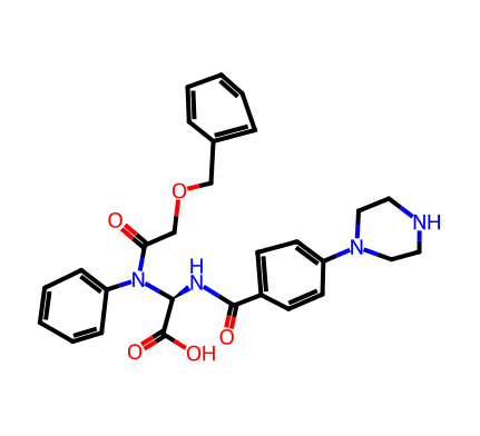 O=C(N[C@@H](C(=O)O)N(C(=O)COCc1ccccc1)c1ccccc1)c1ccc(N2CCNCC2)cc1